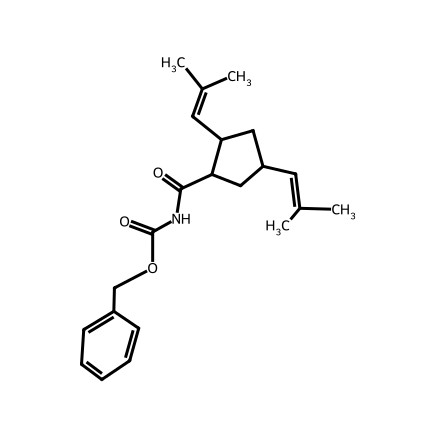 CC(C)=CC1CC(C=C(C)C)C(C(=O)NC(=O)OCc2ccccc2)C1